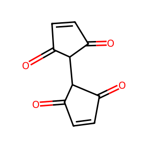 O=C1C=CC(=O)C1C1C(=O)C=CC1=O